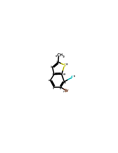 Cc1cc2ccc(Br)c(F)c2s1